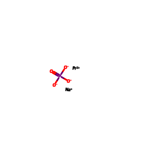 O=P([O-])([O-])[O-].[Na+].[Pr+3]